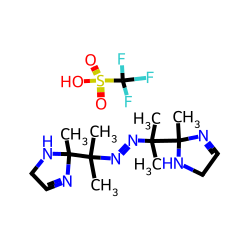 CC(C)(N=NC(C)(C)C1(C)N=CCN1)C1(C)N=CCN1.O=S(=O)(O)C(F)(F)F